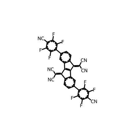 N#CC(C#N)=C1C2=C(C(=C(C#N)C#N)c3ccc(-c4c(F)c(F)c(C#N)c(F)c4F)cc32)c2cc(-c3c(F)c(F)c(C#N)c(F)c3F)ccc21